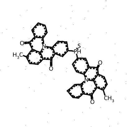 Cc1ccc2c(=O)c3cc([PH](=S)c4ccc5c(c4)c(=O)c4ccc(C)c6c(=O)c7ccccc7n5c46)ccc3n3c4ccccc4c(=O)c1c23